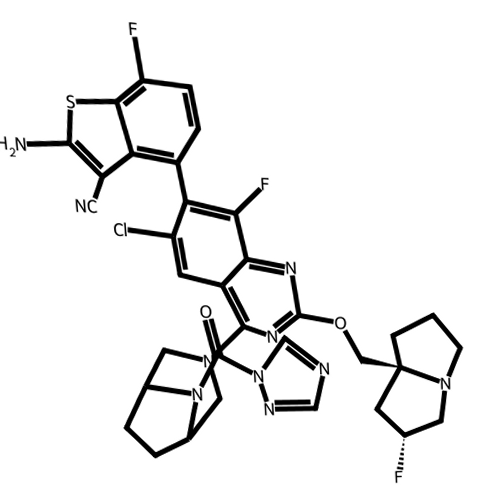 N#Cc1c(N)sc2c(F)ccc(-c3c(Cl)cc4c(N5CC6CCC(C5)N6C(=O)n5cncn5)nc(OC[C@@]56CCCN5C[C@H](F)C6)nc4c3F)c12